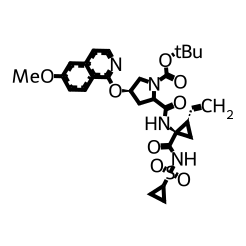 C=C[C@@H]1C[C@]1(NC(=O)C1C[C@@H](Oc2nccc3cc(OC)ccc23)CN1C(=O)OC(C)(C)C)C(=O)NS(=O)(=O)C1CC1